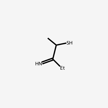 CCC(=N)C(C)S